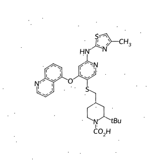 Cc1csc(Nc2cc(Oc3cccc4ncccc34)c(SCC3CCN(C(=O)O)C(C(C)(C)C)C3)cn2)n1